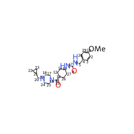 COc1ccc(CNC(=O)NC2CCC(C(=O)N3CCN(CC4CC4)CC3)CC2)cc1